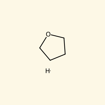 C1CCOC1.[H]